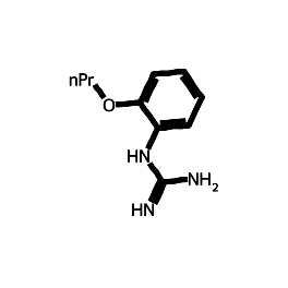 CCCOc1ccccc1NC(=N)N